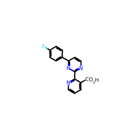 O=C(O)c1cccnc1-c1nccc(-c2ccc(F)cc2)n1